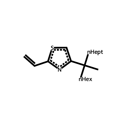 C=Cc1nc(C(C)(CCCCCC)CCCCCCC)cs1